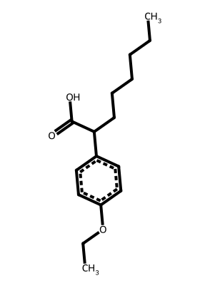 CCCCCCC(C(=O)O)c1ccc(OCC)cc1